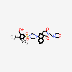 O=C1Cc2cc(N3CCN(S(=O)(=O)c4cc(CO)c([N+](=O)[O-])cc4[N+](=O)[O-])CC3)c3ccccc3c2C(=O)N1CCN1CCOCC1